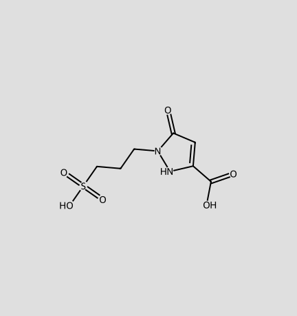 O=C(O)c1cc(=O)n(CCCS(=O)(=O)O)[nH]1